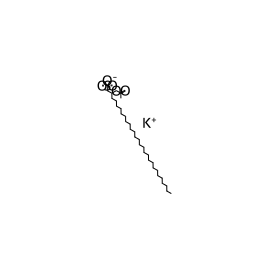 CCCCCCCCCCCCCCCCCCCCCCCCCCC(CS(=O)(=O)[O-])OC(C)=O.[K+]